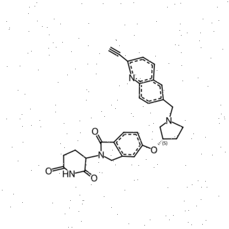 C#Cc1ccc2cc(CN3CC[C@H](Oc4ccc5c(c4)CN(C4CCC(=O)NC4=O)C5=O)C3)ccc2n1